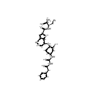 CC(C)C[C@@H](NC(=O)c1cc2nccc(Oc3ccc(NC(=S)NC(=O)Cc4ccccc4)cc3F)c2s1)C(N)=O